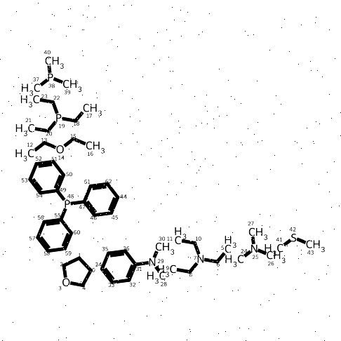 C1CCOC1.CCN(CC)CC.CCOCC.CCP(CC)CC.CN(C)C.CN(C)c1ccccc1.CP(C)C.CSC.c1ccc(P(c2ccccc2)c2ccccc2)cc1